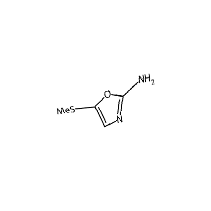 CSc1cnc(N)o1